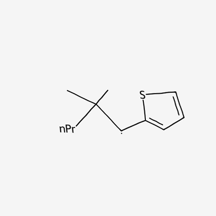 CCCC(C)(C)[CH]c1cccs1